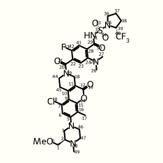 COC[C@H]1CN(c2cc(Cl)c3c4c(c(=O)oc3c2C)CN(C(=O)c2cc(N(C)C)c(C(=O)NS(=O)(=O)N3CCC[C@@H]3C(F)(F)F)cc2F)CC4)CCN1C